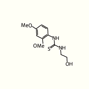 COc1ccc(NC(=S)NCCO)c(OC)c1